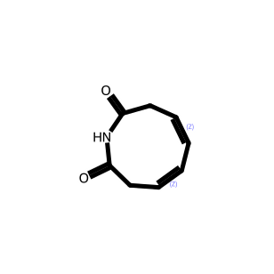 O=C1C/C=C\C=C/CC(=O)N1